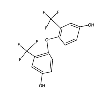 Oc1ccc(Oc2ccc(O)cc2C(F)(F)F)c(C(F)(F)F)c1